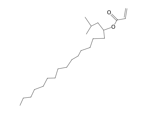 C=CC(=O)OC(CCCCCCCCCCCCCCC)CC(C)C